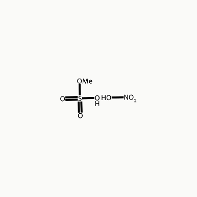 COS(=O)(=O)O.O=[N+]([O-])O